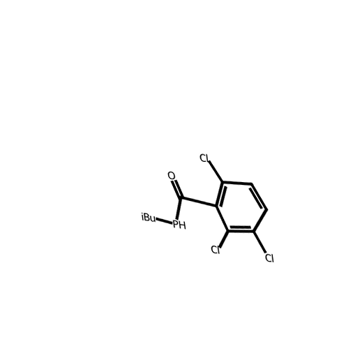 CCC(C)PC(=O)c1c(Cl)ccc(Cl)c1Cl